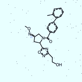 CO/N=C1/CC(c2nc(CCO)no2)N(C(=O)c2ccc(-c3ccccc3C)cc2)C1